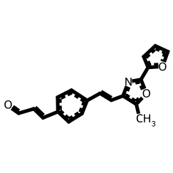 Cc1oc(-c2ccco2)nc1C=Cc1ccc(C=CC=O)cc1